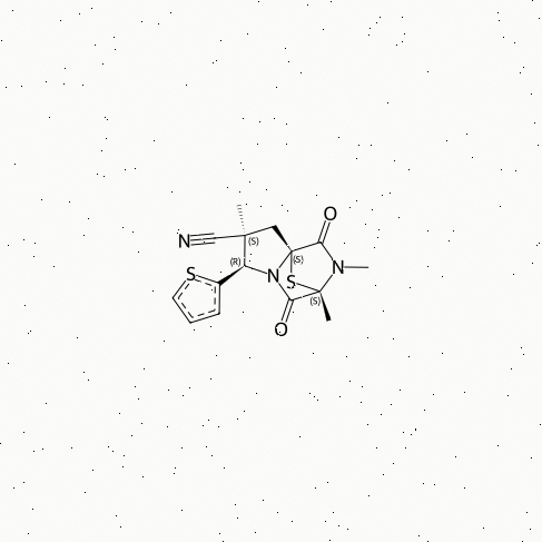 CN1C(=O)[C@@]23C[C@](C)(C#N)[C@H](c4cccs4)N2C(=O)[C@]1(C)S3